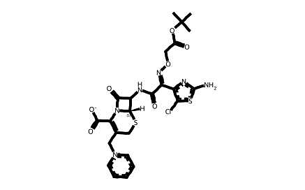 CC(C)(C)OC(=O)CON=C(C(=O)NC1C(=O)N2C(C(=O)[O-])=C(C[n+]3ccccc3)CS[C@@H]12)c1nc(N)sc1Cl